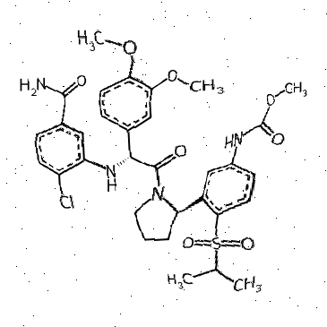 COC(=O)Nc1ccc(S(=O)(=O)C(C)C)c([C@H]2CCCN2C(=O)[C@H](Nc2cc(C(N)=O)ccc2Cl)c2ccc(OC)c(OC)c2)c1